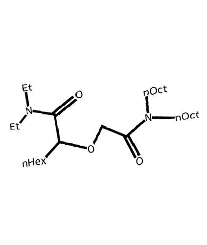 CCCCCCCCN(CCCCCCCC)C(=O)COC(CCCCCC)C(=O)N(CC)CC